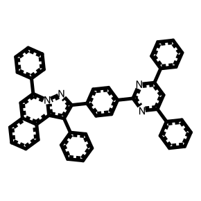 c1ccc(-c2cc(-c3ccccc3)nc(-c3ccc(-c4nn5c(-c6ccccc6)cc6ccccc6c5c4-c4ccccc4)cc3)n2)cc1